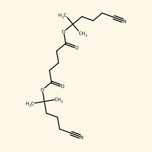 CC(C)(CCCC#N)OC(=O)CCCC(=O)OC(C)(C)CCCC#N